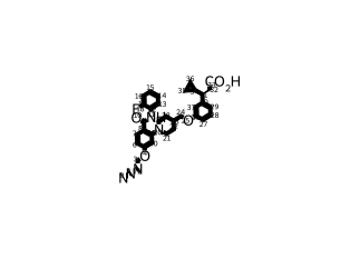 [N-]=[N+]=NCOc1ccc(C(=O)Nc2ccccc2F)c(N2CCC(COc3cccc([C@H](CC(=O)O)C4CC4)c3)CC2)c1